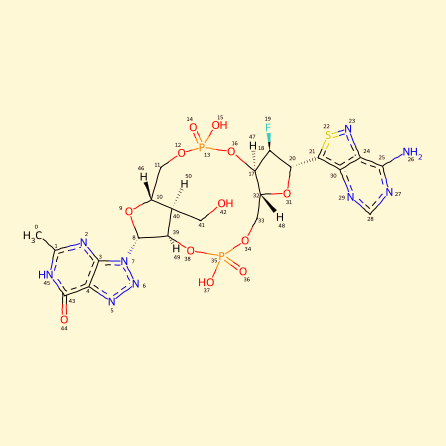 Cc1nc2c(nnn2[C@@H]2O[C@@H]3COP(=O)(O)O[C@H]4[C@@H](F)[C@H](c5snc6c(N)ncnc56)O[C@@H]4COP(=O)(O)O[C@@H]2[C@@H]3CO)c(=O)[nH]1